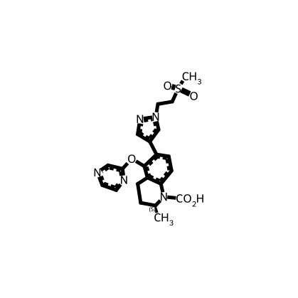 C[C@H]1CCc2c(ccc(-c3cnn(CCS(C)(=O)=O)c3)c2Oc2cnccn2)N1C(=O)O